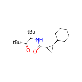 CC(C)(C)C(=O)[C@@H](NC(=O)[C@H]1C[C@@H]1C1CCCCC1)C(C)(C)C